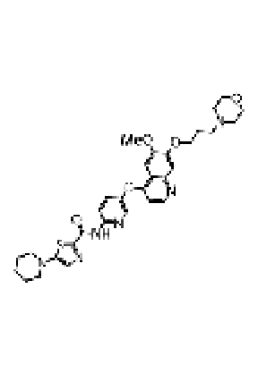 COc1cc2c(Oc3ccc(NC(=O)c4ncc(N5CCCCC5)s4)nc3)ccnc2cc1OCCCN1CCOCC1